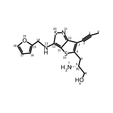 CC#Cc1c(C[C@@H](N)CO)sc2c(NCc3ccco3)snc12